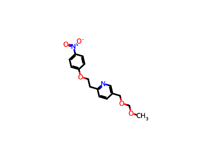 COCOCc1ccc(CCOc2ccc([N+](=O)[O-])cc2)nc1